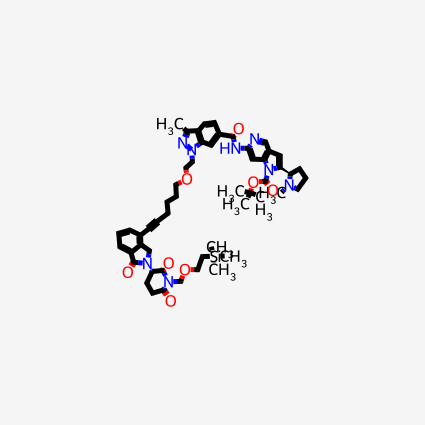 Cc1nn(CCOCCCCC#Cc2cccc3c2CN(C2CCC(=O)N(COCC[Si](C)(C)C)C2=O)C3=O)c2cc(C(=O)Nc3cc4c(cn3)cc([C@H]3CCCN3C)n4C(=O)OC(C)(C)C)ccc12